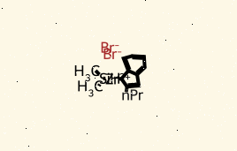 CCCC1=Cc2ccccc2[CH]1[Zr+2][SiH](C)C.[Br-].[Br-]